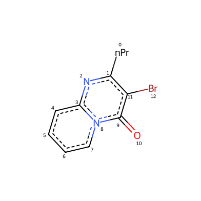 CCCc1nc2ccccn2c(=O)c1Br